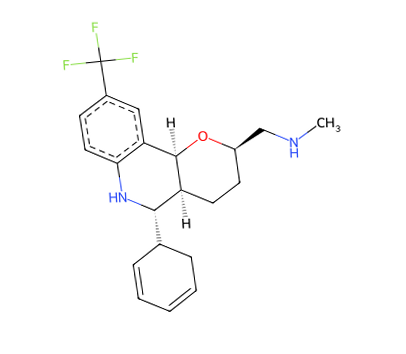 CNC[C@H]1CC[C@@H]2[C@H](O1)c1cc(C(F)(F)F)ccc1N[C@H]2C1C=CC=CC1